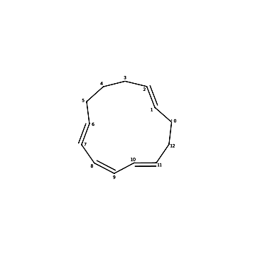 [CH]1/C=C/CCC/C=C/C=C\C=C\C1